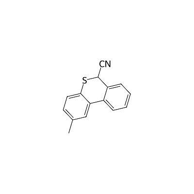 Cc1ccc2c(c1)-c1ccccc1C(C#N)S2